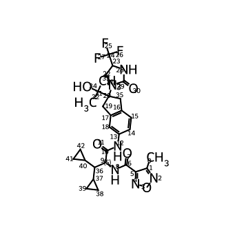 Cc1nonc1C(=O)N[C@H](C(=O)Nc1ccc2c(c1)CC(N1CC(C(F)(F)F)NC1=O)(C(C)(C)O)C2)C(C1CC1)C1CC1